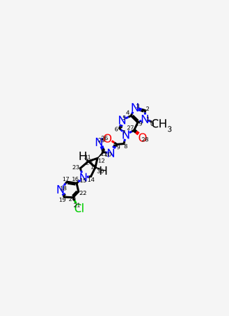 Cn1cnc2ncn(Cc3nc([C@H]4[C@@H]5CN(c6cncc(Cl)c6)C[C@@H]54)no3)c(=O)c21